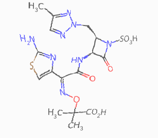 Cc1cnn(C[C@@H]2[C@H](NC(=O)/C(=N\OC(C)(C)C(=O)O)c3csc(N)n3)C(=O)N2S(=O)(=O)O)n1